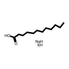 CCCCCCCCCCCC(=O)O.[KH].[NaH]